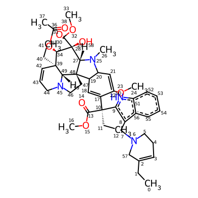 CCC1=CCCN(Cc2c([C@@](CC)(C(=O)OC)C3=CC4C(C=C3OC)N(C)[C@H]3[C@@](O)(C(=O)OC)[C@H](OC(C)=O)[C@]5(CC)C=CCN6CC[C@]43[C@H]65)[nH]c3ccccc23)C1